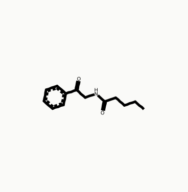 CCCCC(=O)NCC(=O)c1ccccc1